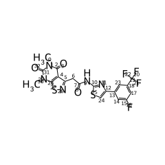 Cn1c(=O)c2c(CC(=O)Nc3nc(-c4cc(F)cc(C(F)(F)F)c4)cs3)nsc2n(C)c1=O